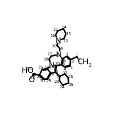 CCc1ccc2c(c1)N(CCN1CCCCC1)CCn1c-2c(C2CCCCC2)c2ccc(C(=O)O)cc21